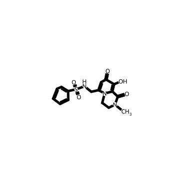 CN1CCn2c(CNS(=O)(=O)c3ccccc3)cc(=O)c(O)c2C1=O